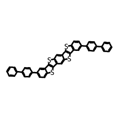 c1ccc(-c2ccc(-c3ccc4sc5c6cc7sc8c9cc(-c%10ccc(-c%11ccccc%11)cc%10)ccc9sc8c7cc6sc5c4c3)cc2)cc1